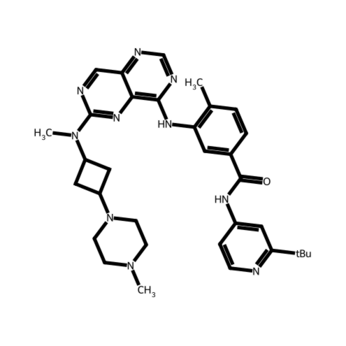 Cc1ccc(C(=O)Nc2ccnc(C(C)(C)C)c2)cc1Nc1ncnc2cnc(N(C)C3CC(N4CCN(C)CC4)C3)nc12